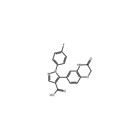 O=C1COc2ccc(-c3c(C(=O)O)cnn3-c3ccc(F)cc3)cc2N1